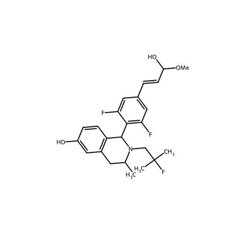 COC(O)/C=C/c1cc(F)c(C2c3ccc(O)cc3CC(C)N2CC(C)(C)F)c(F)c1